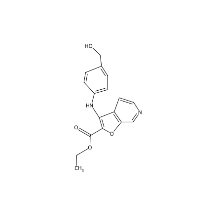 CCOC(=O)c1oc2cnccc2c1Nc1ccc(CO)cc1